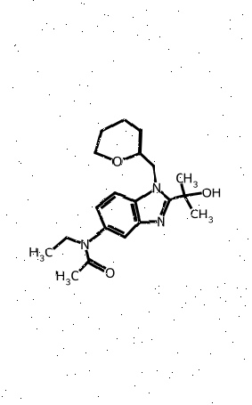 CCN(C(C)=O)c1ccc2c(c1)nc(C(C)(C)O)n2CC1CCCCO1